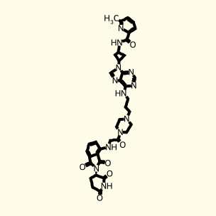 Cc1cccc(C(=O)NC2CC(n3cnc4c(NCCCN5CCN(C(=O)CNc6cccc7c6C(=O)N([C@@H]6CCC(=O)NC6=O)C7=O)CC5)ncnc43)C2)n1